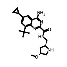 CO[C@H]1CN[C@H](CNC(=O)c2nc(N)c3cc(C4CC4)cc(C(C)(C)C)c3n2)C1